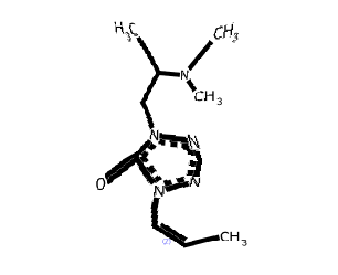 C/C=C\n1nnn(CC(C)N(C)C)c1=O